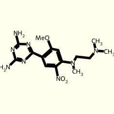 COc1cc(N(C)CCN(C)C)c([N+](=O)[O-])cc1-c1nc(N)nc(N)n1